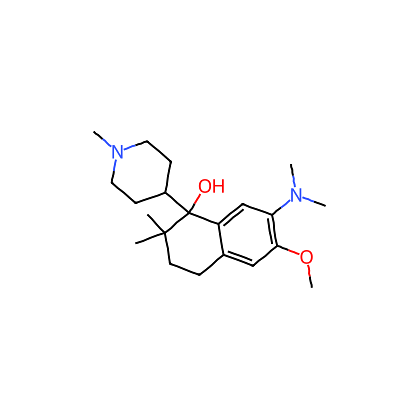 COc1cc2c(cc1N(C)C)C(O)(C1CCN(C)CC1)C(C)(C)CC2